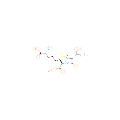 CC(O)[C@H]1C(=O)N2C(C(=O)O)=C(CCC[C@@H](N)C(=O)O)S[C@H]12